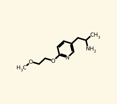 COCCOc1ccc(CC(C)N)cn1